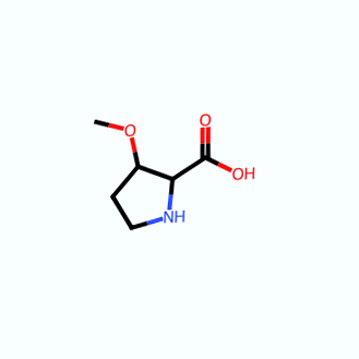 COC1CCNC1C(=O)O